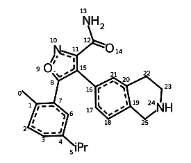 Cc1ccc(C(C)C)cc1-c1onc(C(N)=O)c1-c1ccc2c(c1)CCNC2